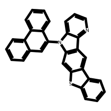 c1ccc2c(c1)cc(-n1c3cc4sc5ccccc5c4cc3c3ncccc31)c1ccccc12